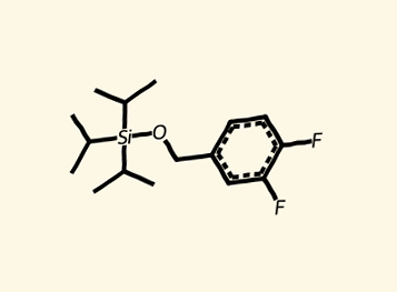 CC(C)[Si](OCc1ccc(F)c(F)c1)(C(C)C)C(C)C